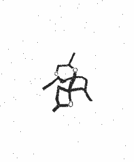 CC1CC2(O1)C(C)CC21OC(C)COC12CC2C